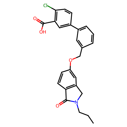 CCCN1Cc2cc(OCc3cccc(-c4ccc(Cl)c(C(=O)O)c4)c3)ccc2C1=O